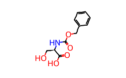 O=C(N[C@H](CO)C(=O)O)OCc1ccccc1